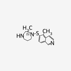 Cc1c(SN2CCCNC[C@@H]2C)ccc2cnccc12